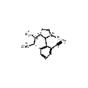 C#Cc1ccccc1C1[C@H]([C@H](C)CNC)CCN1C